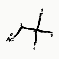 CC(=O)CC(C)(F)F